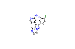 Nc1cc(-c2c(-c3ccc(F)cc3)nn3c2C=NCC3)ccn1